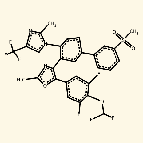 Cc1nc(-c2cc(-c3cccc(S(C)(=O)=O)c3)ccc2-n2cc(C(F)(F)F)nc2C)c(-c2cc(F)c(OC(F)F)c(F)c2)o1